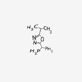 CC(C)c1nnc(C(P)P)o1